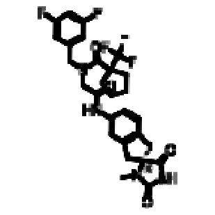 CN1C(=O)NC(=O)[C@@]12Cc1ccc(NC(=O)CN(Cc3cc(F)cc(F)c3)C(=O)C3(C(F)(F)F)CCCC3)cc1C2